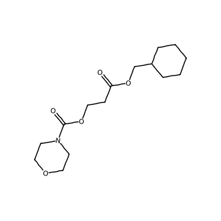 O=C(CCOC(=O)N1CCOCC1)OCC1CCCCC1